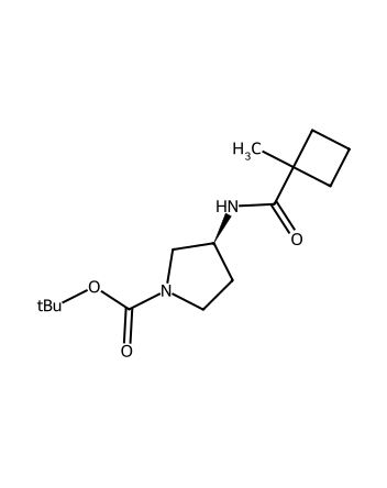 CC(C)(C)OC(=O)N1CC[C@H](NC(=O)C2(C)CCC2)C1